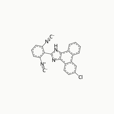 [C-]#[N+]c1cccc([N+]#[C-])c1-c1nc2c3ccc(Cl)cc3c3ccccc3c2[nH]1